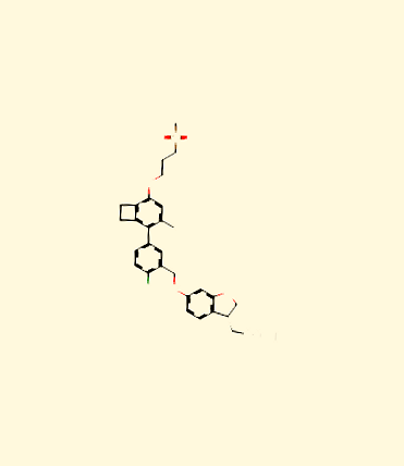 Cc1cc(OCCCS(C)(=O)=O)c2c(c1-c1ccc(F)c(COc3ccc4c(c3)OC[C@H]4CC(=O)O)c1)CC2